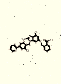 Cc1cc(OCc2ccccc2C(=O)O)cc2c1nc(C)n2Cc1ccc(-c2ccccn2)cc1Cl